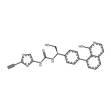 C#Cc1nc(NC(=O)N[C@@H](CO)c2ccc(-c3cccc4ccnc(O)c34)cc2)cs1